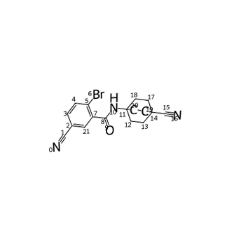 N#Cc1ccc(Br)c(C(=O)NC23CCC(C#N)(CC2)CC3)c1